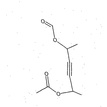 CC(=O)OC(C)C#CC(C)OC=O